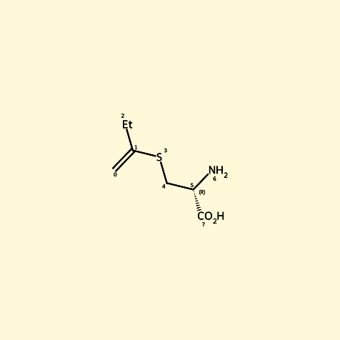 C=C(CC)SC[C@H](N)C(=O)O